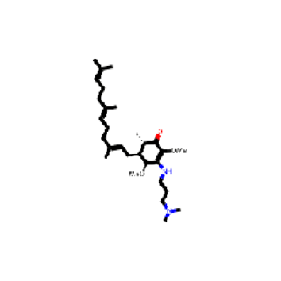 COC1=C(NCCCN(C)C)[C@@H](OC)[C@@H](C/C=C(\C)CC/C=C(\C)CCC=C(C)C)[C@H](C)C1=O